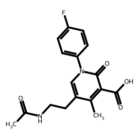 CC(=O)NCCc1cn(-c2ccc(F)cc2)c(=O)c(C(=O)O)c1C